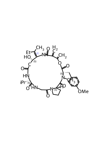 C=C1OC(=O)[C@H](Cc2ccc(OC)cc2)N(C)C(=O)[C@@H]2CCCN2C(=O)CNC(=O)[C@H](C(C)C)NC(=O)C[C@H](O)/C(=C(/C)CC)NC(=O)C1=C